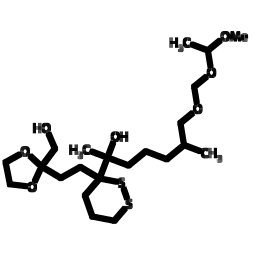 COC(C)OCOCC(C)CCCC(C)(O)C1(CCC2(CO)OCCO2)CCCSS1